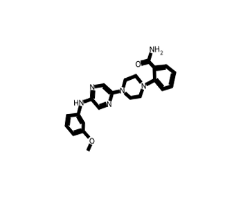 COc1cccc(Nc2cnc(N3CCN(c4ccccc4C(N)=O)CC3)cn2)c1